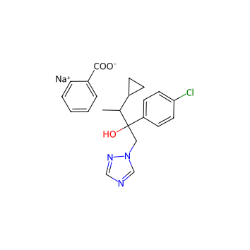 CC(C1CC1)C(O)(Cn1cncn1)c1ccc(Cl)cc1.O=C([O-])c1ccccc1.[Na+]